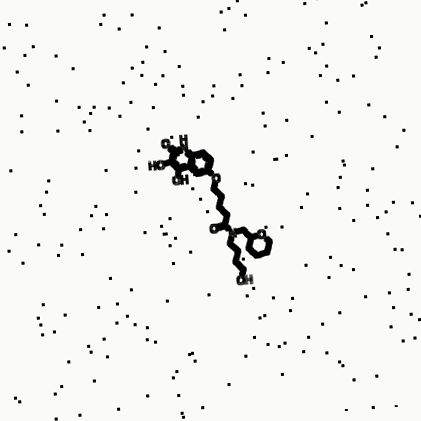 O=C(CCCCOc1ccc2[nH]c(=O)c(O)c(O)c2c1)N(CCCCO)CC1CCCCO1